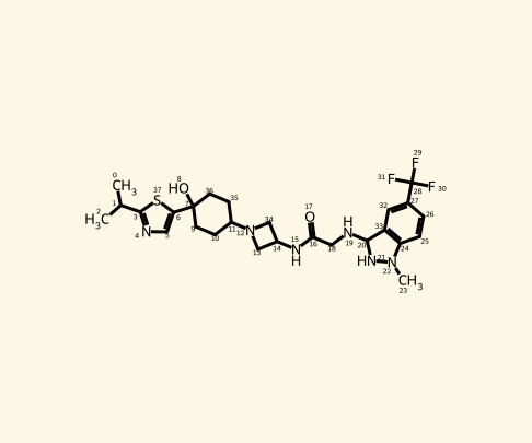 CC(C)c1ncc(C2(O)CCC(N3CC(NC(=O)CNC4NN(C)c5ccc(C(F)(F)F)cc54)C3)CC2)s1